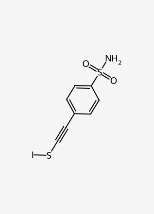 NS(=O)(=O)c1ccc(C#CSI)cc1